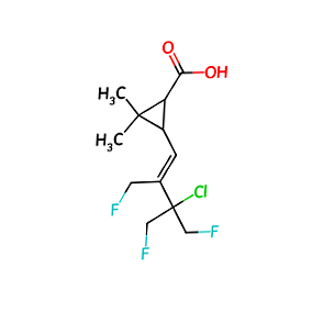 CC1(C)C(/C=C(\CF)C(Cl)(CF)CF)C1C(=O)O